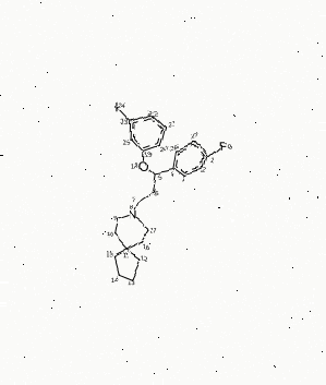 Fc1ccc(C(CCN2CCC3(CCCC3)CC2)Oc2cccc(I)c2)cc1